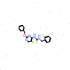 Fc1ccccc1CNC(=S)Nc1nc(OCc2ccccc2)ncc1F